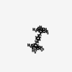 CC1(C)CC(CCc2ccc(CCC3CC(C)(C)NC(C)(C)C3)cc2)CC(C)(C)N1